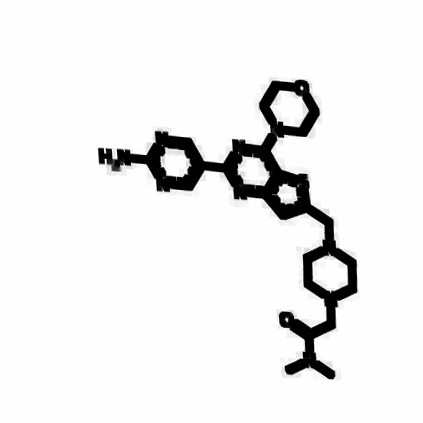 CN(C)C(=O)CN1CCN(Cc2cc3nc(-c4cnc(N)nc4)nc(N4CCOCC4)c3s2)CC1